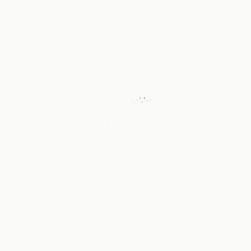 COc1ccccc1[S+](C)[O-]